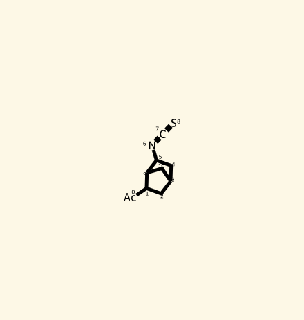 CC(=O)C1CC2CC(N=C=S)C1C2